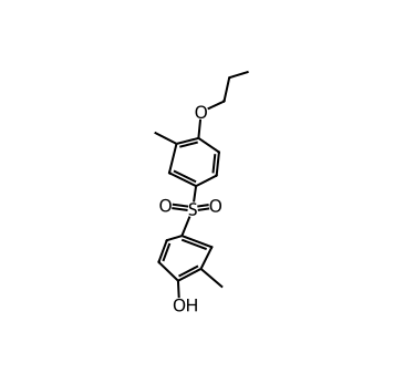 CCCOc1ccc(S(=O)(=O)c2ccc(O)c(C)c2)cc1C